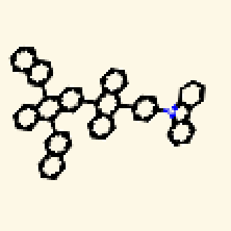 C1=Cc2c(n(-c3ccc(-c4c5ccccc5c(-c5ccc6c(-c7ccc8ccccc8c7)c7ccccc7c(-c7ccc8ccccc8c7)c6c5)c5ccccc45)cc3)c3ccccc23)CC1